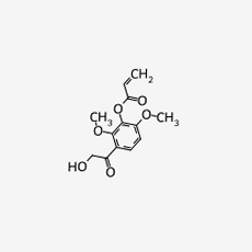 C=CC(=O)Oc1c(OC)ccc(C(=O)CO)c1OC